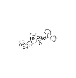 O=C(O)[C@](Cc1ccc(P(=O)(O)O)cc1)(NC(F)F)C(=O)OCC1c2ccccc2-c2ccccc21